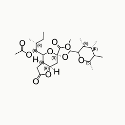 CC[C@@H](C)[C@@H](OC(C)=O)C1O[C@@](OCC2O[C@@H](C)C(C)[C@@H](C)[C@H]2C)(C(=O)OC)C[C@H]2OC(=O)C[C@@H]12